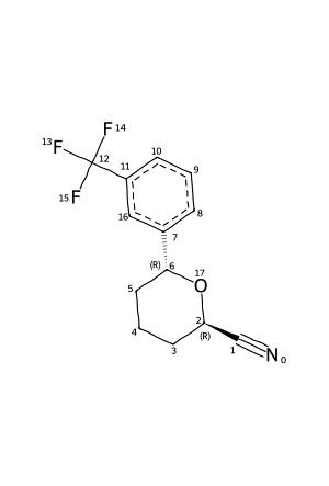 N#C[C@H]1CCC[C@H](c2cccc(C(F)(F)F)c2)O1